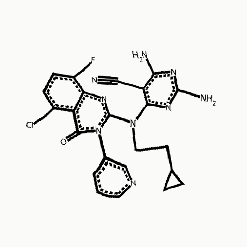 N#Cc1c(N)nc(N)nc1N(CCC1CC1)c1nc2c(F)ccc(Cl)c2c(=O)n1-c1cccnc1